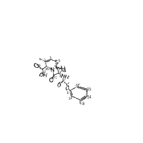 CC1=CS[C@@H]2C(NC(=O)COc3ccccc3)C(=O)N2C1C(=O)O